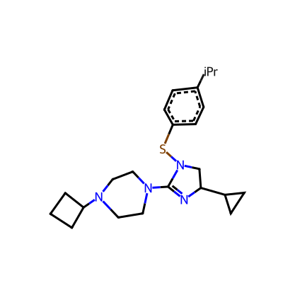 CC(C)c1ccc(SN2CC(C3CC3)N=C2N2CCN(C3CCC3)CC2)cc1